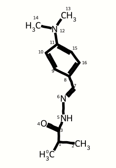 CC(C)C(=O)N/N=C/c1ccc(N(C)C)cc1